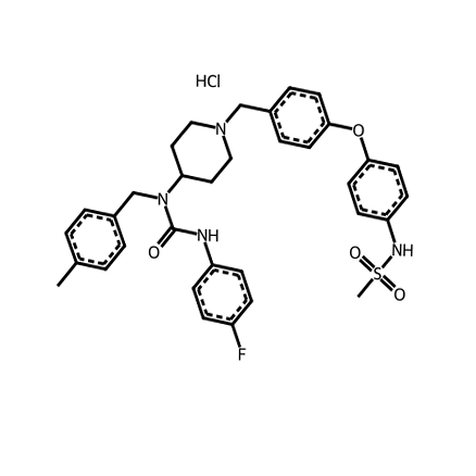 Cc1ccc(CN(C(=O)Nc2ccc(F)cc2)C2CCN(Cc3ccc(Oc4ccc(NS(C)(=O)=O)cc4)cc3)CC2)cc1.Cl